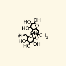 CCC(C)(CC1OC(O)C(O)C(O)C1O)OC1OC(CC(C)C)C(O)C(O)C1O